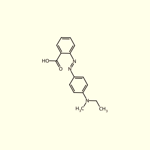 CCN(C)c1ccc(/N=N/c2ccccc2C(=O)O)cc1